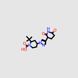 CC(C)(C)C1CC(n2cc(C3CCC(=O)NC3=O)cn2)CCN1C(=O)O